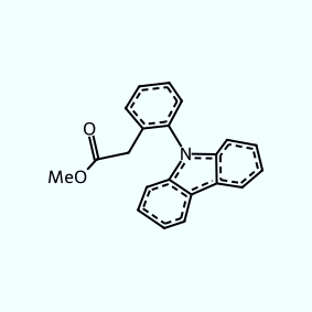 COC(=O)Cc1ccccc1-n1c2ccccc2c2ccccc21